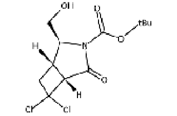 CC(C)(C)OC(=O)N1C(=O)[C@H]2[C@H](CC2(Cl)Cl)[C@H]1CO